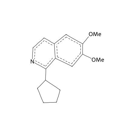 COc1cc2ccnc(C3CCCC3)c2cc1OC